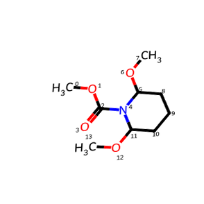 COC(=O)N1C(OC)CCCC1OC